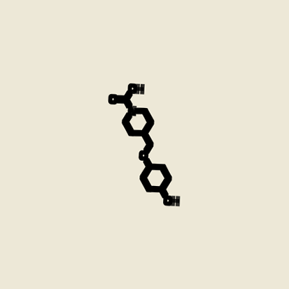 O=C(O)N1CCC(COC2CCC(O)CC2)CC1